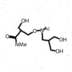 CNC(=O)C(CO)CON(CC(CO)CO)C(C)=O